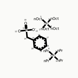 CCCCCCCC[P+](CCCCCCCC)(CCCCCCCC)CCCCCCCC.CCC[P+](CCC)(CCC)CCC.O=P([O-])([O-])Cc1ccccc1